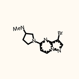 CNC1CCN(c2ccn3ncc(Br)c3n2)C1